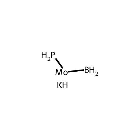 [BH2][Mo][PH2].[KH]